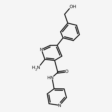 Nc1ncc(-c2cccc(CO)c2)cc1C(=O)Nc1ccncc1